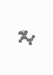 Cc1ccc(C(F)(F)F)c(-c2nc(-n3c4ccc(-c5ccccc5)cc4c4cc(-c5ccc6c(c5)c5cc(-c7ccccc7)ccc5n6-c5ccccc5)ccc43)c3ccc4ccccc4c3n2)c1